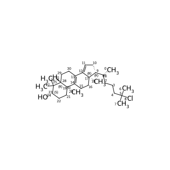 C[C@H](CCCC(C)(C)Cl)[C@H]1CC=C2C3=C(CC[C@@]21C)[C@@]1(C)CC[C@H](O)C(C)(C)[C@@H]1CC3